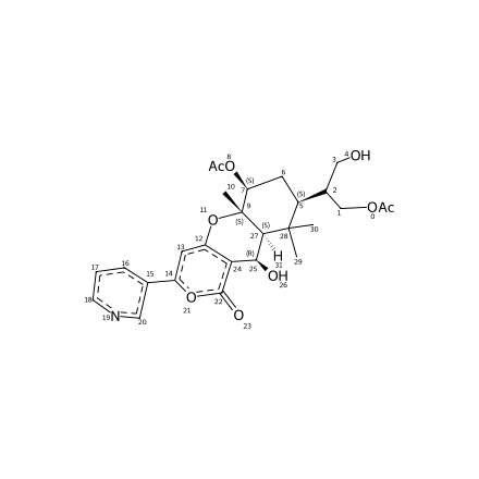 CC(=O)OCC(CO)[C@@H]1C[C@H](OC(C)=O)[C@@]2(C)Oc3cc(-c4cccnc4)oc(=O)c3[C@H](O)[C@@H]2C1(C)C